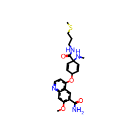 CNC1(C(=O)NCCCSC)C=CC(Oc2ccnc3cc(OC)c(C(N)=O)cc23)C=C1